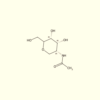 CC(=O)N[C@@H]1COC(CO)[C@H](O)[C@@H]1O